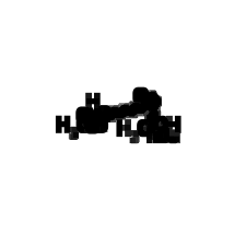 CCCCC(C)[C@@H](O)CC[C@H]1C=CC(=O)[C@@H]1CCCCCCCOC(=O)NS(C)(=O)=O